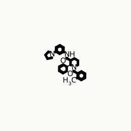 Cc1ccccc1C(=O)N1CCCC(C(=O)Nc2cccc(N3CCCC3)c2)[C@@H]1C1C=CC=CC1